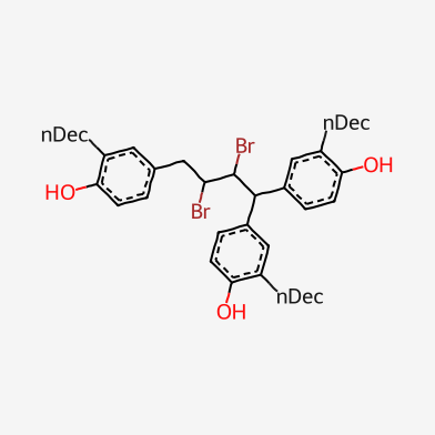 CCCCCCCCCCc1cc(CC(Br)C(Br)C(c2ccc(O)c(CCCCCCCCCC)c2)c2ccc(O)c(CCCCCCCCCC)c2)ccc1O